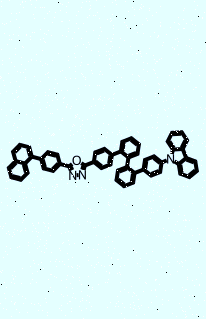 c1ccc(-c2ccccc2-c2ccc(-n3c4ccccc4c4ccccc43)cc2)c(-c2ccc(-c3nnc(-c4ccc(-c5cccc6ccccc56)cc4)o3)cc2)c1